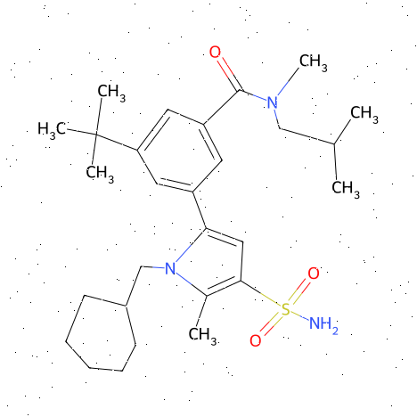 Cc1c(S(N)(=O)=O)cc(-c2cc(C(=O)N(C)CC(C)C)cc(C(C)(C)C)c2)n1CC1CCCCC1